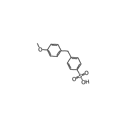 COc1ccc(Cc2ccc(S(=O)(=O)O)cc2)cc1